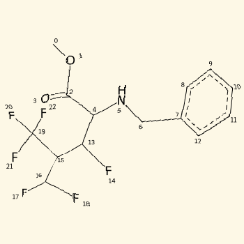 COC(=O)C(NCc1ccccc1)C(F)C(C(F)F)C(F)(F)F